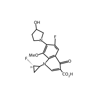 COc1c(N2CCC(O)C2)c(F)cc2c(=O)c(C(=O)O)cn(C3C[C@@H]3F)c12